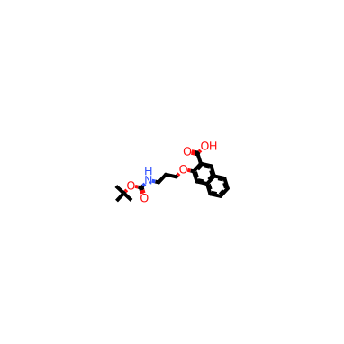 CC(C)(C)OC(=O)NCCCOc1cc2ccccc2cc1C(=O)O